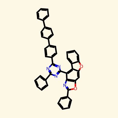 c1ccc(-c2ccc(-c3ccc(-c4nc(-c5ccccc5)nc(-c5c6nc(-c7ccccc7)oc6cc6oc7ccccc7c56)n4)cc3)cc2)cc1